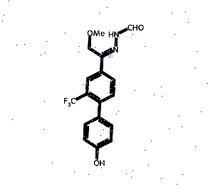 COC/C(=N\NC=O)c1ccc(-c2ccc(O)cc2)c(C(F)(F)F)c1